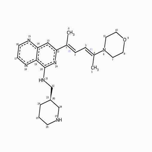 C/C(=C\C=C(/C)N1CCOCC1)c1cc2nccnc2c(NC[C@@H]2CCCNC2)n1